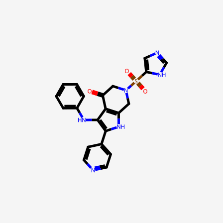 O=C1CN(S(=O)(=O)c2cnc[nH]2)Cc2[nH]c(-c3ccncc3)c(Nc3ccccc3)c21